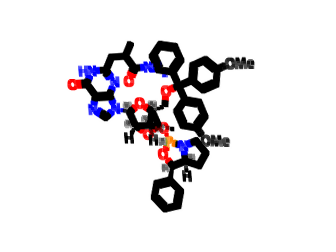 COc1ccc(C(OC[C@]23O[C@@H](n4cnc5c(=O)[nH]c(CC(C)C(N)=O)nc54)[C@H](O[C@H]2C)[C@@H]3O[P@@]2O[C@H](c3ccccc3)[C@@H]3CCCN32)(c2ccccc2)c2ccc(OC)cc2)cc1